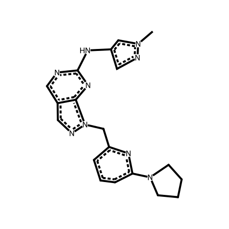 Cn1cc(Nc2ncc3cnn(Cc4cccc(N5CCCC5)n4)c3n2)cn1